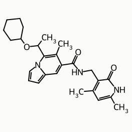 Cc1cc(C)c(CNC(=O)c2cc3cccn3c(C(C)OC3CCCCC3)c2C)c(=O)[nH]1